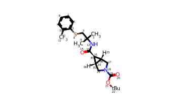 CC(C)(CSc1ccccc1C(F)(F)F)NC(=O)[C@H]1[C@@H]2CN(C(=O)OC(C)(C)C)C[C@@H]21